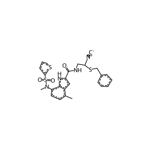 [C-]#[N+]C(CNC(=O)c1cc2c(C)ccc(N(C)S(=O)(=O)c3cccs3)c2[nH]1)SCc1ccccc1